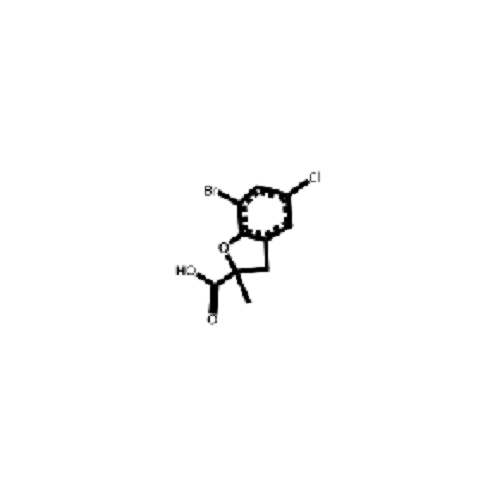 CC1(C(=O)O)Cc2cc(Cl)cc(Br)c2O1